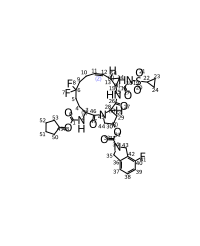 O=C(N[C@H]1CCC(F)(F)CC/C=C\[C@@H]2C[C@@]2(C(=O)NS(=O)(=O)C2CC2)NC(=O)[C@@H]2C[C@@H](OC(=O)N3Cc4cccc(F)c4C3)CN2C1=O)OC1CCCC1